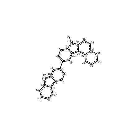 Cn1c2ccc(-c3ccc4c(c3)oc3ccccc34)cc2c2c3ccccc3ccc21